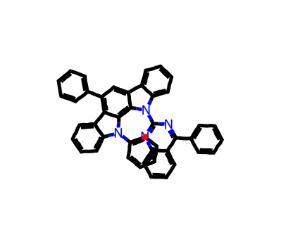 c1ccc(-c2nc(-n3c4ccccc4c4cc(-c5ccccc5)c5c6ccccc6n(-c6ccccc6)c5c43)nc3ccccc23)cc1